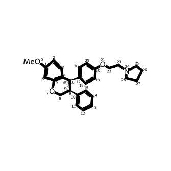 COc1ccc2c(c1)OC[C@H](c1ccccc1)[C@@H]2c1ccc(OCCN2CCCC2)cc1